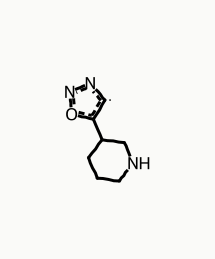 [c]1nnoc1C1CCCNC1